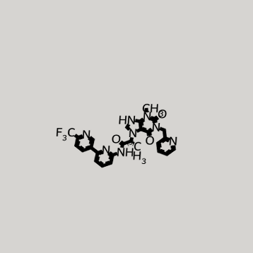 C[C@@H](C(=O)Nc1cccc(-c2ccc(C(F)(F)F)nc2)n1)N1CNc2c1c(=O)n(Cc1ccccn1)c(=O)n2C